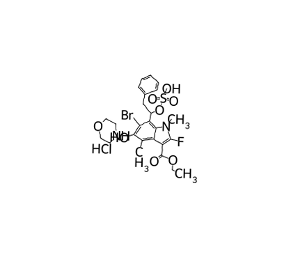 C1COCCN1.CCOC(=O)c1c(F)n(C)c2c(C(Cc3ccccc3)OS(=O)(=O)O)c(Br)c(O)c(C)c12.Cl